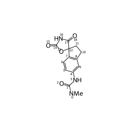 CNC(=O)Nc1ccc2c(c1)CCC21OC(=O)NC1=O